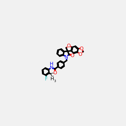 Cc1c(F)cccc1NC(=O)c1ccc(CN2C(=O)C3(COc4cc5c(cc43)OCO5)c3ccccc32)cc1